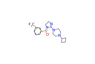 [O-][S+](c1cccc(C(F)(F)F)c1)N1CCN=C1N1CCN(C2CCC2)CC1